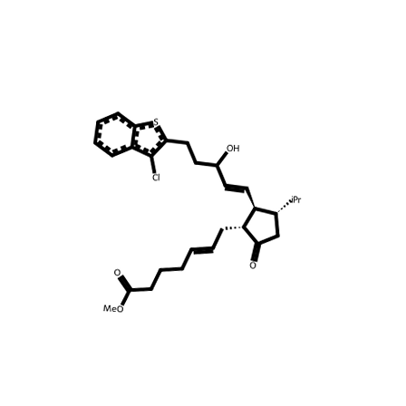 COC(=O)CCCC=CC[C@H]1C(=O)C[C@@H](C(C)C)[C@@H]1C=CC(O)CCc1sc2ccccc2c1Cl